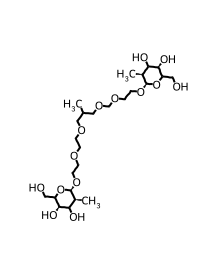 CC(COCCOCCO[C@@H]1OC(CO)[C@H](O)C(O)[C@@H]1C)COCOCCO[C@@H]1OC(CO)[C@H](O)C(O)[C@@H]1C